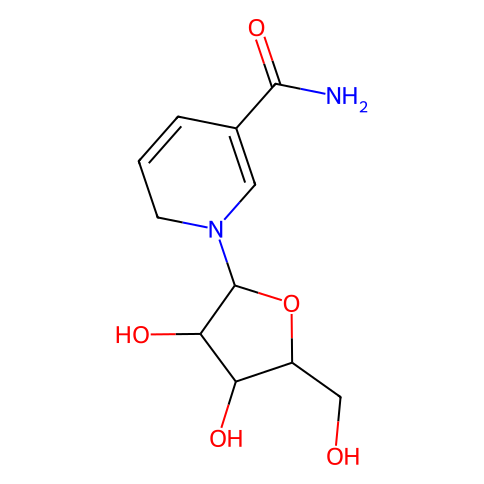 NC(=O)C1=CN(C2OC(CO)C(O)C2O)CC=C1